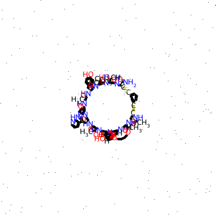 CC(=O)N[C@H]1CSCc2cccc(c2)CSC[C@H](C(N)=O)NC(=O)[C@H]([C@@H](C)O)NC(=O)[C@](C)(C(C)C)NC(=O)[C@H](Cc2ccc(O)cc2)NC(=O)[C@H](C)NC(=O)C2(CCC2)NC(=O)[C@H](Cc2c[nH]c3ncccc23)NC(=O)[C@H]([C@@H](C)O)NC(=O)[C@@H]2C[C@@H]3CN2C(=O)[C@H](Cc2ccc(O)cc2)NC(=O)[C@H](NC1=O)[C@H](C)OCCCCO3